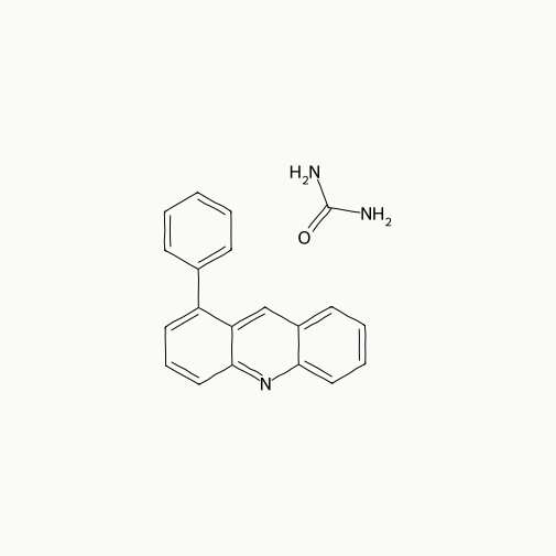 NC(N)=O.c1ccc(-c2cccc3nc4ccccc4cc23)cc1